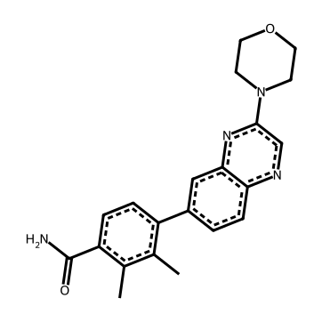 Cc1c(C(N)=O)ccc(-c2ccc3ncc(N4CCOCC4)nc3c2)c1C